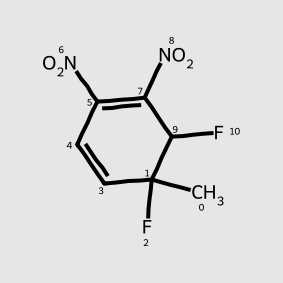 CC1(F)C=CC([N+](=O)[O-])=C([N+](=O)[O-])C1F